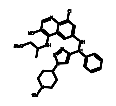 COCC(C)Nc1c(C#N)cnc2c(Cl)cc(N[C@@H](c3ccccc3)c3cn(C4CCN(C(C)(C)C)CC4)nn3)cc12